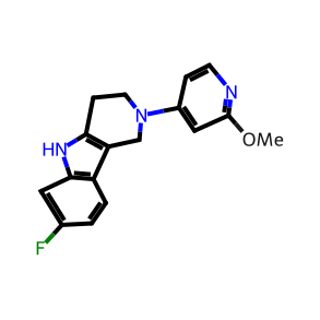 COc1cc(N2CCc3[nH]c4cc(F)ccc4c3C2)ccn1